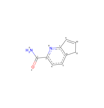 NC(=O)c1ccc2c(n1)C=CC2